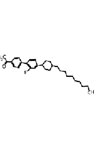 CCCCCCCCCCC1CCC(c2ccc(-c3ccc(C(C)=O)cc3)c(F)c2)CC1